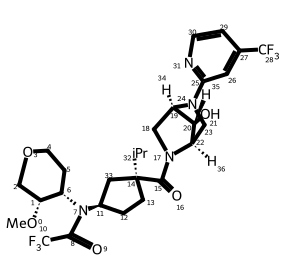 CO[C@@H]1COCC[C@@H]1N(C(=O)C(F)(F)F)[C@@H]1CC[C@@](C(=O)N2C[C@@H]3[C@H](O)[C@H]2CN3c2cc(C(F)(F)F)ccn2)(C(C)C)C1